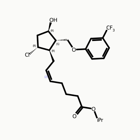 CC(C)OC(=O)CCC/C=C\C[C@@H]1[C@@H](COc2cccc(C(F)(F)F)c2)[C@H](O)C[C@H]1Cl